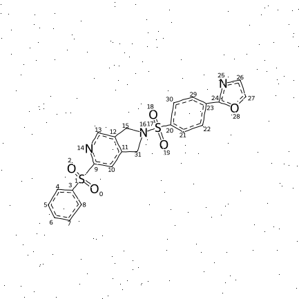 O=S(=O)(c1ccccc1)c1cc2c(cn1)CN(S(=O)(=O)c1ccc(-c3ncco3)cc1)C2